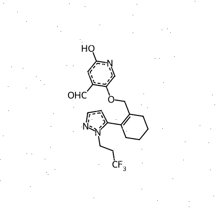 O=Cc1cc(O)ncc1OCC1=C(c2ccnn2CCC(F)(F)F)CCCC1